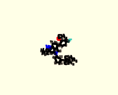 COc1cc(F)ccc1-c1ccc2c3c1CN(c1cccc(C(C)(C)C)c1)C3=CC(C)(C)N2